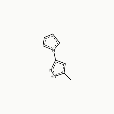 Cc1cc(-n2cccc2)n[nH]1